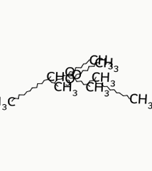 CCCCCCCCCCCCC(C)CC(C)CCCC(OCCCCCCC)OC(CCCC(C)CC(C)CCCCCCCCCCCC)OCCCCCCC